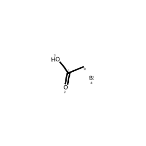 CC(=O)O.[B]